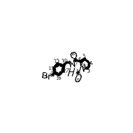 O=CN1CCCC1C(=O)NCc1ccc(Br)cc1